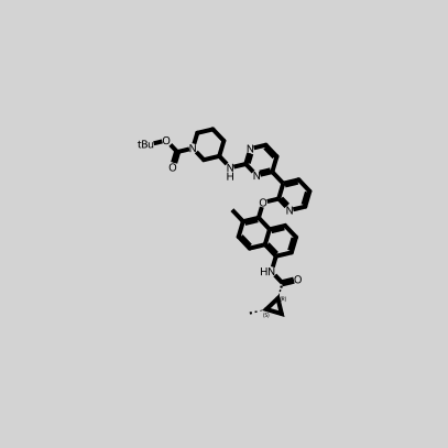 Cc1ccc2c(NC(=O)[C@@H]3C[C@@H]3C)cccc2c1Oc1ncccc1-c1ccnc(NC2CCCN(C(=O)OC(C)(C)C)C2)n1